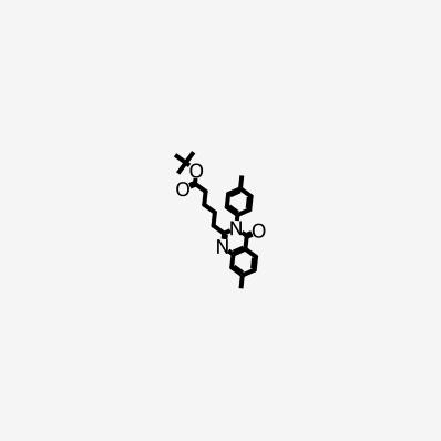 Cc1ccc(-n2c(CCCCC(=O)OC(C)(C)C)nc3cc(C)ccc3c2=O)cc1